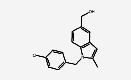 Cc1cc2cc(CO)ccc2n1Cc1ccc(Cl)cc1